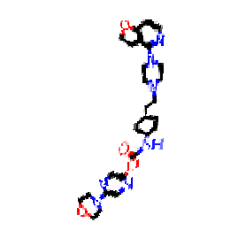 O=C(N[C@H]1CC[C@H](CCN2CCN(c3nccc4c3CCO4)CC2)CC1)Oc1cnc(N2CCOCC2)cn1